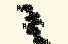 CC(C)(C)c1ccc(-c2ccc(N(c3ccccc3)c3cc4c(c5c3oc3ccccc35)-c3cc5c(cc3C4(C)C)-c3c(cc(N(c4ccccc4)c4ccc(-c6ccc(C(C)(C)C)c7ccccc67)cc4)c4c3oc3ccccc34)C5(C)C)cc2)c2ccccc12